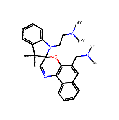 CCCN(CCC)CCN1c2ccccc2C(C)(C)C12C=Nc1c(c(CN(CC)CC)cc3ccccc13)O2